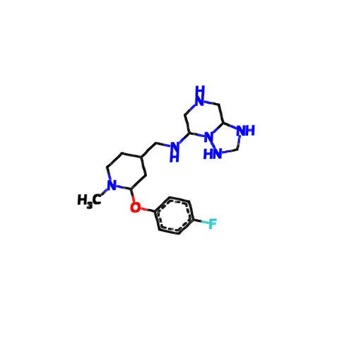 CN1CCC(CNC2CNCC3NCNN32)CC1Oc1ccc(F)cc1